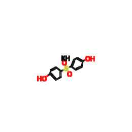 O=S(=O)(c1ccc(O)cc1)c1ccc(O)cc1.[KH]